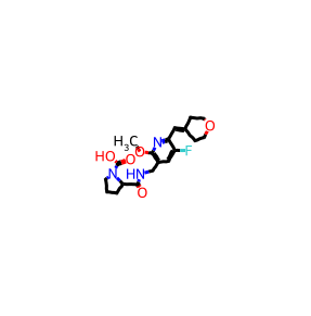 COc1nc(C=C2CCOCC2)c(F)cc1CNC(=O)C1CCCN1C(=O)O